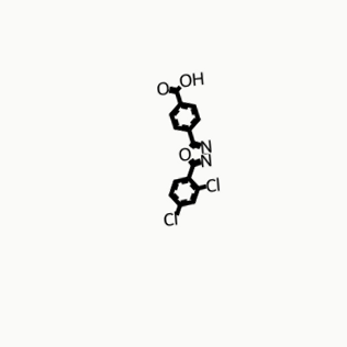 O=C(O)c1ccc(-c2nnc(-c3ccc(Cl)cc3Cl)o2)cc1